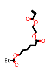 C=CC(=O)OCCOC(=O)CCCCCOC(=O)CC